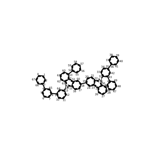 c1ccc(-c2cccc(-c3cccc(-n4c5ccc(-c6ccc7c(c6)c6ccccc6n7-c6ccc(-c7ccccc7)cc6-c6ccccc6)cc5c5c(-c6ccccc6)cccc54)c3)c2)cc1